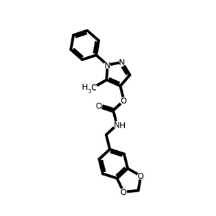 Cc1c(OC(=O)NCc2ccc3c(c2)OCO3)cnn1-c1ccccc1